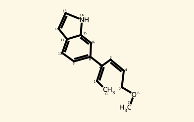 C/C=C(\C=C/COC)c1ccc2cc[nH]c2c1